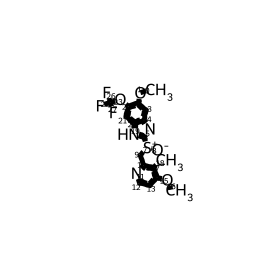 COc1cc2nc([S+]([O-])Cc3nccc(OC)c3C)[nH]c2cc1OC(F)(F)F